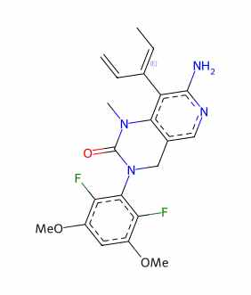 C=C/C(=C\C)c1c(N)ncc2c1N(C)C(=O)N(c1c(F)c(OC)cc(OC)c1F)C2